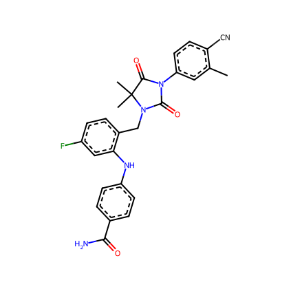 Cc1cc(N2C(=O)N(Cc3ccc(F)cc3Nc3ccc(C(N)=O)cc3)C(C)(C)C2=O)ccc1C#N